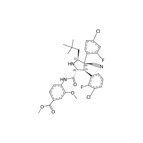 COC(=O)c1ccc(NC(=O)[C@@H]2N[C@@H](CC(C)(C)C)[C@](C#N)(c3ccc(Cl)cc3F)[C@H]2c2cccc(Cl)c2F)c(OC)c1